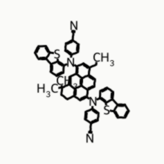 CCc1cc(N(c2ccc(C#N)cc2)c2cccc3c2sc2ccccc23)c2cc3c4c(cc(N(c5ccc(C#N)cc5)c5cccc6c5sc5ccccc56)c5ccc1c2c54)CCC3(C)C